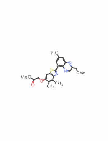 COCc1cnc2c(-c3nc4c(C)c(C)c(OCC(=O)OC)cc4s3)cc(C)cc2n1